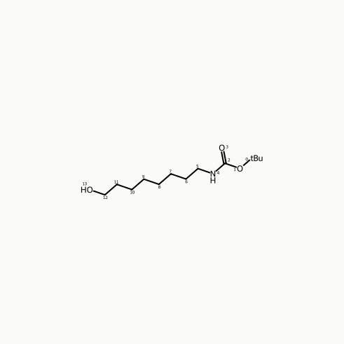 CC(C)(C)OC(=O)NCCCCCCCCO